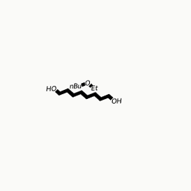 CCCCOCC.OCCCCCCCCO